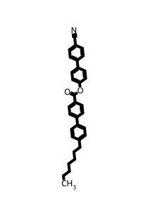 CCCCCCCc1ccc(-c2ccc(C(=O)Oc3ccc(-c4ccc(C#N)cc4)cc3)cc2)cc1